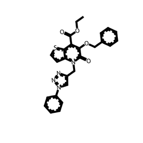 CCOC(=O)c1c(OCc2ccccc2)c(=O)n(Cc2cn(-c3ccccc3)nn2)c2ccsc12